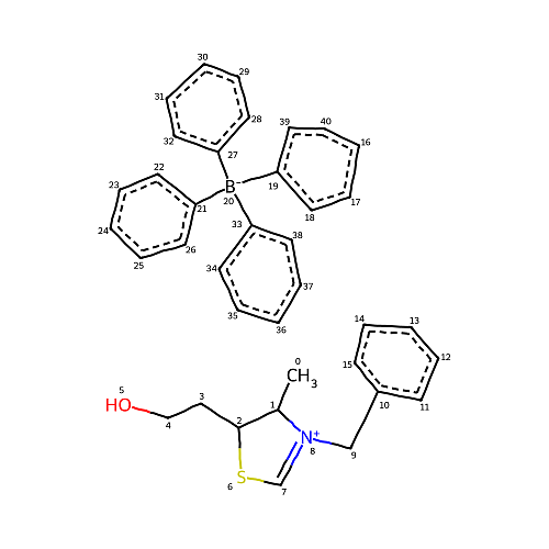 CC1C(CCO)SC=[N+]1Cc1ccccc1.c1ccc([B-](c2ccccc2)(c2ccccc2)c2ccccc2)cc1